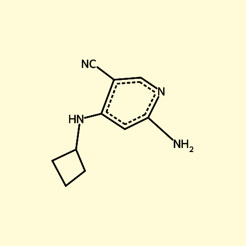 N#Cc1cnc(N)cc1NC1CCC1